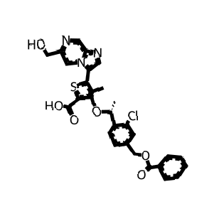 Cc1c(-c2cnc3cnc(CO)cn23)sc(C(=O)O)c1O[C@H](C)c1ccc(COC(=O)c2ccccc2)cc1Cl